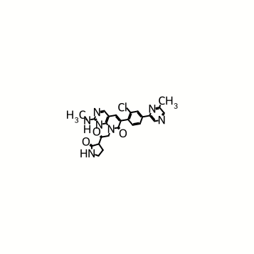 CNc1ncc2cc(-c3ccc(-c4cncc(C)n4)cc3Cl)c(=O)n(CC(=O)C3CCNC3=O)c2n1